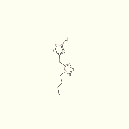 CCCCn1nnnc1Sc1ncc(Cl)s1